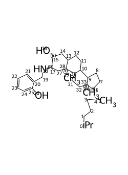 CC(C)CCCC(C)[C@H]1CCC2C3CCC4C[C@@H](O)[C@H](NCc5ccccc5O)C[C@]4(C)C3CC[C@@]21C